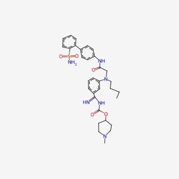 CCCCN(CC(=O)Nc1ccc(-c2ccccc2S(N)(=O)=O)cc1)c1cccc(C(=N)NC(=O)OC2CCN(C)CC2)c1